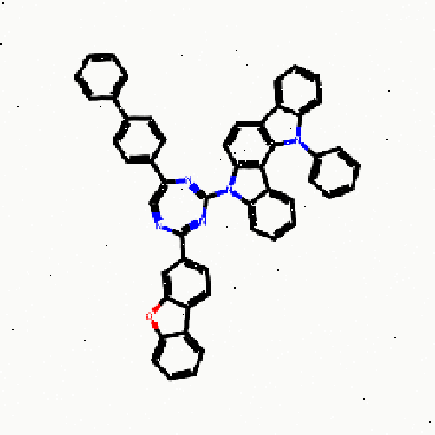 C1=NC(c2ccc3c(c2)oc2ccccc23)=NC(n2c3ccccc3c3c2ccc2c4ccccc4n(-c4ccccc4)c23)=NC=1c1ccc(-c2ccccc2)cc1